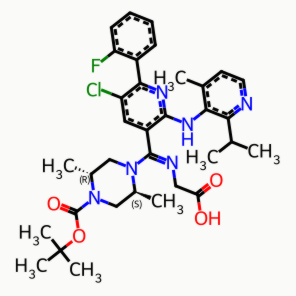 Cc1ccnc(C(C)C)c1Nc1nc(-c2ccccc2F)c(Cl)cc1C(=NCC(=O)O)N1C[C@@H](C)N(C(=O)OC(C)(C)C)C[C@@H]1C